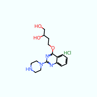 Cl.OCC(O)CCOc1nc(N2CCNCC2)nc2ccccc12